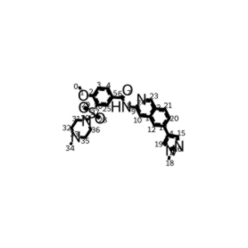 COc1ccc(C(=O)Nc2cc3cc(-c4cnn(C)c4)ccc3cn2)cc1S(=O)(=O)N1CCN(C)CC1